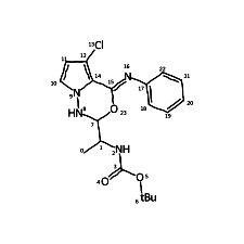 CC(NC(=O)OC(C)(C)C)C1Nn2ccc(Cl)c2/C(=N/c2ccccc2)O1